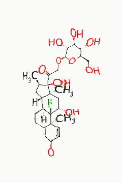 C[C@@H]1C[C@H]2[C@@H]3CCC4=CC(=O)C=C[C@]4(C)[C@@]3(F)[C@@H](O)C[C@]2(C)[C@@]1(O)C(=O)CO[C@@H]1O[C@H](CO)[C@@H](O)[C@H](O)[C@H]1O